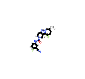 C=C1CCC(F)(F)c2c3c(nn2C1)CCN(C(=O)Nc1ccc(F)c(C#N)c1)C3